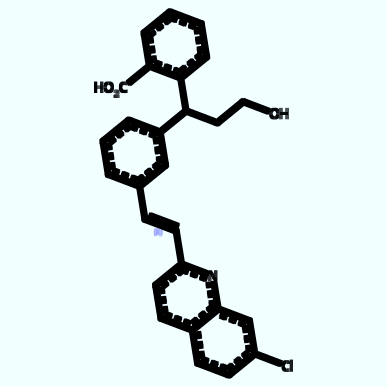 O=C(O)c1ccccc1C(CCO)c1cccc(/C=C/c2ccc3ccc(Cl)cc3n2)c1